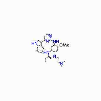 C=CC(=C)Nc1cc(Nc2nccc(-c3c[nH]c4ccccc34)n2)c(OC)cc1N(C)CCN(C)C